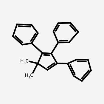 CC1(C)[C]=C(c2ccccc2)C(c2ccccc2)=C1c1ccccc1